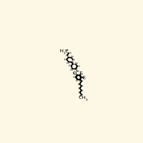 CCCCCCCCc1ccc(OC[C@H]2CC[C@H]([C@H]3CC[C@H](CCC)CC3)CC2)c(F)c1F